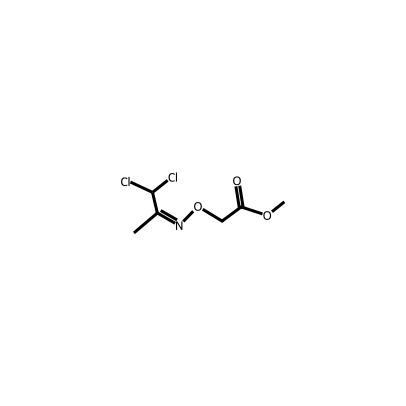 COC(=O)CON=C(C)C(Cl)Cl